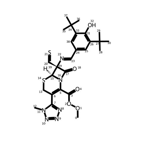 COOC(=O)C1=C(c2nnnn2C)CS[C@@H]2N1C(=O)[C@@]2(C=S)N=Cc1cc(C(C)(C)C)c(O)c(C(C)(C)C)c1